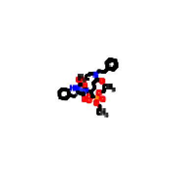 CCOP(=O)(OCC)C(O)[C@H](CCC(=O)N(CC)CCc1ccccc1)NC(=O)[C@H](CC1CCCCC1)NC(=O)O